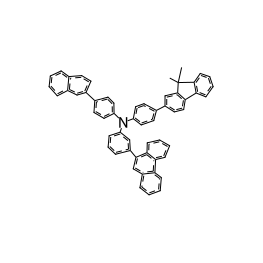 CC1(C)c2ccccc2-c2ccc(-c3ccc(N(c4ccc(-c5ccc6ccccc6c5)cc4)c4cccc(-c5cc6ccccc6c6ccccc56)c4)cc3)cc21